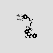 COc1ccc(CCN(C)CCCNC(=O)c2cccc3c(=O)c(C)c(-c4ccccc4)oc23)cc1OC